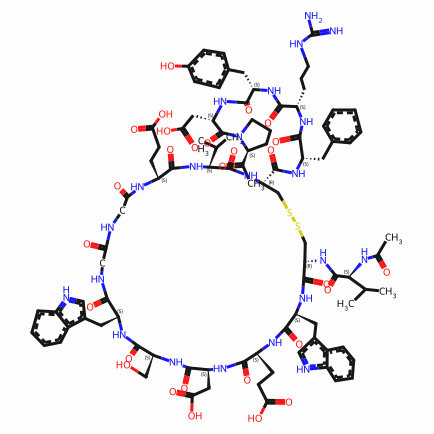 CC(=O)N[C@H](C(=O)N[C@H]1CSSC[C@@H](C(=O)N[C@@H](Cc2ccccc2)C(=O)N[C@@H](CCCNC(=N)N)C(=O)N[C@@H](Cc2ccc(O)cc2)C(=O)N[C@@H](CC(=O)O)C(=O)N2CCC[C@H]2C(C)=O)NC(=O)[C@H](C(C)C)NC(=O)[C@H](CCC(=O)O)NC(=O)CNC(=O)CNC(=O)[C@H](Cc2c[nH]c3ccccc23)NC(=O)[C@H](CO)NC(=O)[C@H](CC(=O)O)NC(=O)[C@H](CCC(=O)O)NC(=O)[C@H](Cc2c[nH]c3ccccc23)NC1=O)C(C)C